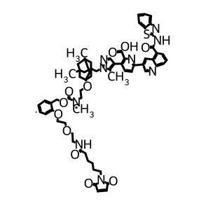 Cc1c(-c2ccc(-c3cnc4cccc(C(=O)Nc5nc6ccccc6s5)c4c3)nc2C(=O)O)cnn1CC12CC3(C)CC(C)(C1)CC(OCCN(C)C(=O)OCc1cc[c]cc1OCCOCCNC(=O)CCCCCN1C(=O)C=CC1=O)(C3)C2